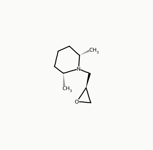 C[C@@H]1CCC[C@H](C)N1C[C@H]1CO1